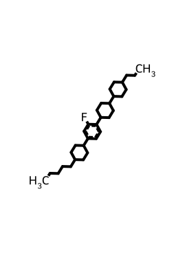 CCCCCC1CCC(c2ccc(C3CCC(C4CCC(CCC)CC4)CC3)c(F)c2)CC1